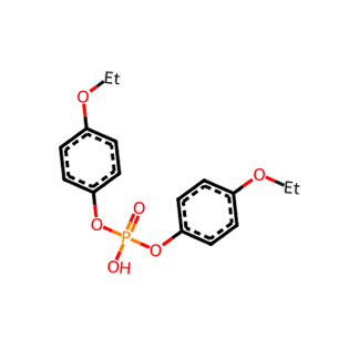 CCOc1ccc(OP(=O)(O)Oc2ccc(OCC)cc2)cc1